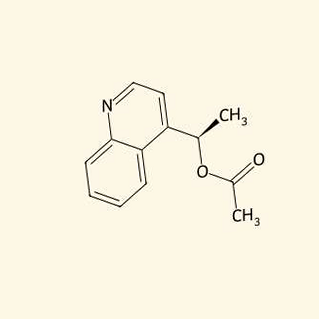 CC(=O)O[C@H](C)c1ccnc2ccccc12